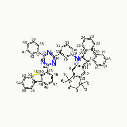 CC1(C)CCC(C)(C)c2cc3c(cc21)c1c2ccccc2c2ccccc2c1n3-c1cccc(-c2nc(-c3ccccc3)nc(-c3cccc4c3sc3ccccc34)n2)c1